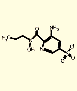 Nc1cc(S(=O)(=O)Cl)cnc1C(=O)N(O)CCC(F)(F)F